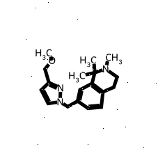 COCc1ccn(Cc2ccc3c(c2)C(C)(C)N(C)CC3)n1